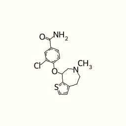 CN1CCc2ccsc2C(Oc2ccc(C(N)=O)cc2Cl)C1